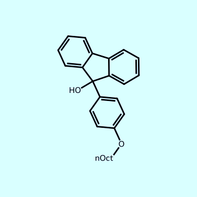 CCCCCCCCOc1ccc(C2(O)c3ccccc3-c3ccccc32)cc1